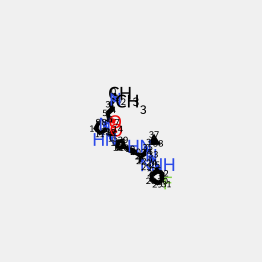 CN(C)C/C=C/C(=O)N1CCC[C@H]1C(=O)NC1CC(C#Cc2cnc(Nc3cccc(F)c3)nc2NC2CC2)C1